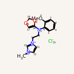 COc1ccccc1N(CC[n+]1ccn(C)c1)C1=COCO1.[Cl-]